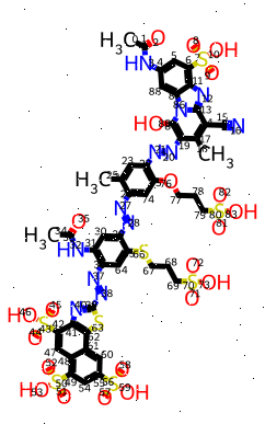 CC(=O)Nc1cc(S(=O)(=O)O)c2nc3c(C#N)c(C)c(N=Nc4cc(C)c(N=Nc5cc(NC(C)=O)c(N=Nc6nc7c(S(=O)(=O)O)cc8c(S(=O)(=O)O)cc(S(=O)(=O)O)cc8c7s6)cc5SCCCS(=O)(=O)O)cc4OCCCS(=O)(=O)O)c(O)n3c2c1